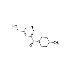 CC1CCN(C(=O)c2cncc(CO)c2)CC1